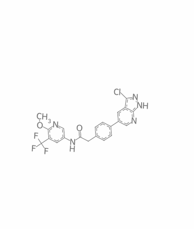 COc1ncc(NC(=O)Cc2ccc(-c3cnc4[nH]nc(Cl)c4c3)cc2)cc1C(F)(F)F